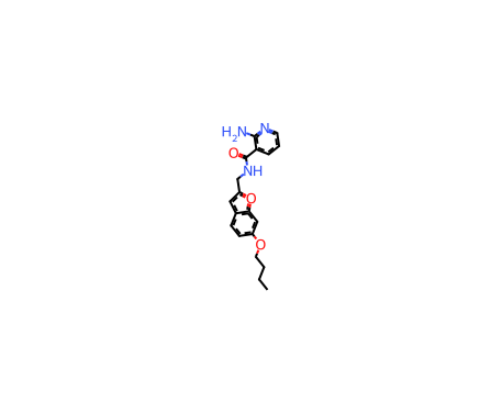 CCCCOc1ccc2cc(CNC(=O)c3cccnc3N)oc2c1